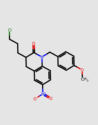 COc1ccc(CN2C(=O)C(CCCCl)Cc3cc([N+](=O)[O-])ccc32)cc1